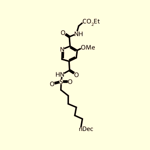 CCCCCCCCCCCCCCCCS(=O)(=O)NC(=O)c1cnc(C(=O)NCC(=O)OCC)c(OC)c1